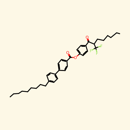 CCCCCCCCCc1ccc(-c2ccc(C(=O)Oc3ccc(C(=O)C(CCCCCC)C(F)(F)F)cc3)cc2)cc1